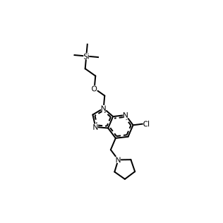 C[Si](C)(C)CCOCn1cnc2c(CN3CCCC3)cc(Cl)nc21